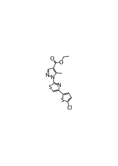 CCOC(=O)c1cnn(-c2nc(-c3ccc(Cl)s3)cs2)c1C